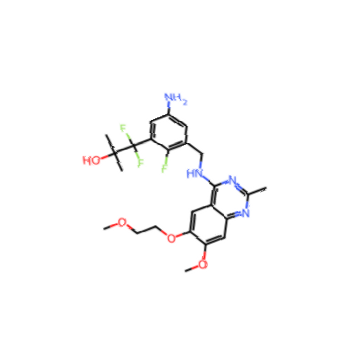 COCCOc1cc2c(NCc3cc(N)cc(C(F)(F)C(C)(C)O)c3F)nc(C)nc2cc1OC